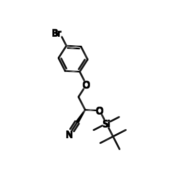 CC(C)(C)[Si](C)(C)O[C@@H](C#N)COc1ccc(Br)cc1